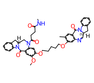 CNC(=O)CCC(=O)N1C[C@@H]2Cc3ccccc3N2C(=O)c2cc(OC)c(OCCCCCOc3cc4c(cc3C)C(=O)N3c5ccccc5C[C@H]3C=N4)cc21